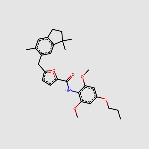 CCCOc1cc(OC)c(NC(=O)c2ccc(Cc3cc4c(cc3C)CCC4(C)C)o2)c(OC)c1